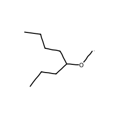 [CH2]OC(CCC)CCCC